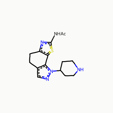 CC(=O)Nc1nc2c(s1)-c1c(cnn1C1CCNCC1)CC2